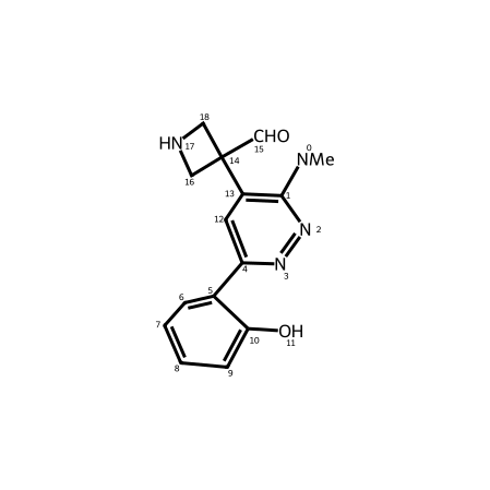 CNc1nnc(-c2ccccc2O)cc1C1(C=O)CNC1